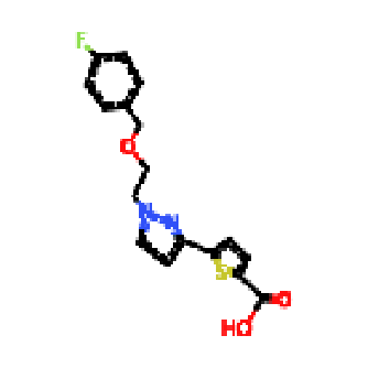 O=C(O)c1ccc(-c2ccn(CCOCc3ccc(F)cc3)n2)s1